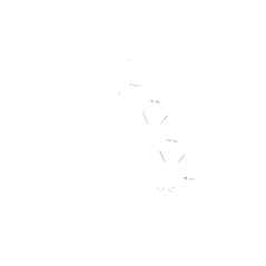 CNC(=O)c1ccc(-c2cccc(CN(C)C(=O)CN)c2)cc1